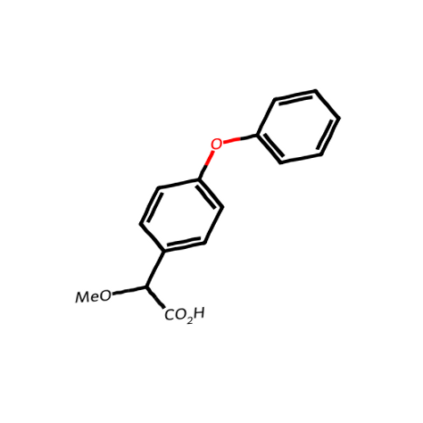 COC(C(=O)O)c1ccc(Oc2ccccc2)cc1